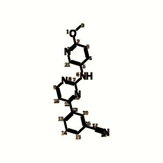 COc1ccc(Nc2nccc(-c3cccc(C#N)c3)n2)cn1